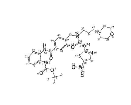 CC(C)(C)OC(=O)Nc1ccccc1NC(=O)c1ccc(CN(CCCN2CCOCC2)C(=O)Nc2ncc([N+](=O)[O-])s2)cc1